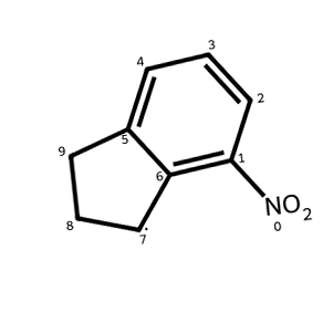 O=[N+]([O-])c1cccc2c1[CH]CC2